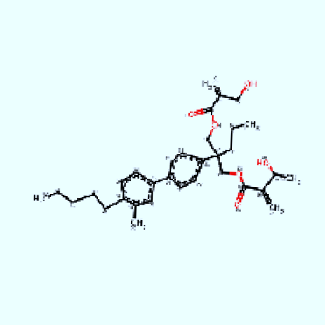 C=C(CO)C(=O)OCC(CCC)(COC(=O)C(=C)C(C)O)c1ccc(-c2ccc(CCCCC)c(C)c2)cc1